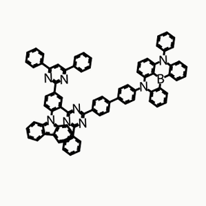 c1ccc(-c2cc(-c3ccccc3)nc(-c3ccc(-n4c5ccccc5c5ccccc54)c(-c4nc(-c5ccccc5)nc(-c5ccc(-c6ccc(N7c8ccccc8B8c9ccccc9N(c9ccccc9)c9cccc7c98)cc6)cc5)n4)c3)n2)cc1